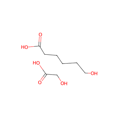 O=C(O)CCCCCO.O=C(O)CO